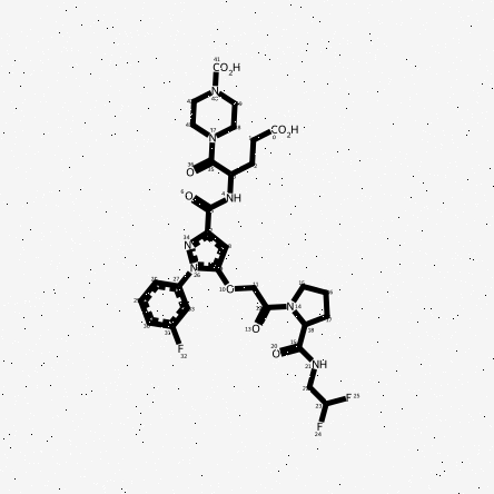 O=C(O)CCC(NC(=O)c1cc(OCC(=O)N2CCCC2C(=O)NCC(F)F)n(-c2cccc(F)c2)n1)C(=O)N1CCN(C(=O)O)CC1